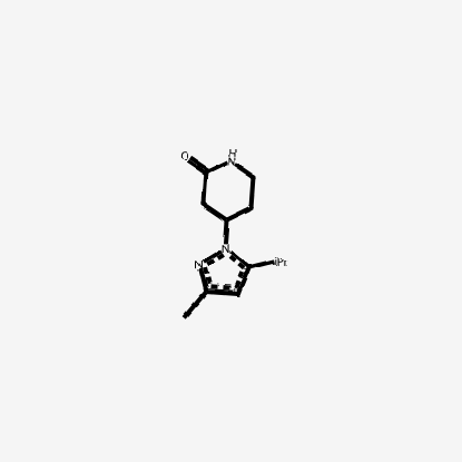 Cc1cc(C(C)C)n(C2CCNC(=O)C2)n1